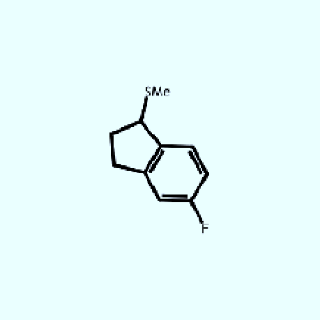 CSC1CCc2cc(F)ccc21